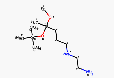 CCO[Si](C)(CCCNCCN)O[Si](OC)(OC)OC